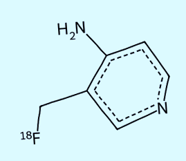 Nc1ccncc1C[18F]